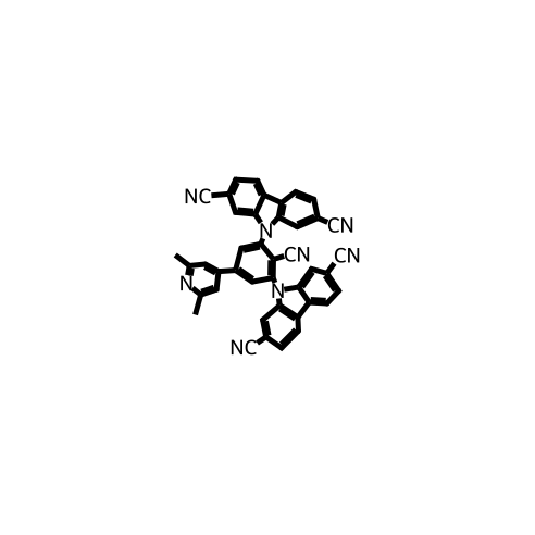 Cc1cc(-c2cc(-n3c4cc(C#N)ccc4c4ccc(C#N)cc43)c(C#N)c(-n3c4cc(C#N)ccc4c4ccc(C#N)cc43)c2)cc(C)n1